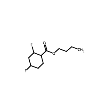 CCCCOC(=O)C1CCC(F)CC1F